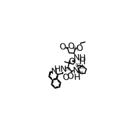 CCO[C@@H]1OC(=O)CC1NC(=O)[C@@H]1[C@H]2CC[C@H](C2)N1C(=O)[C@@H](NC(=O)c1nccc2ccccc12)C(C)(C)C